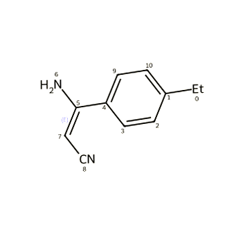 CCc1ccc(/C(N)=C\C#N)cc1